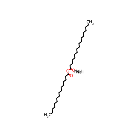 CCCCCCCCCCCCCCCCCC(=O)OC(=O)CCCCCCCCCCCCCCC.[NaH].[NaH]